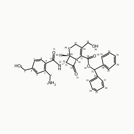 NCc1cc(CO)ccc1C(=O)N[C@H]1C(=O)N2C(C(=O)OC(c3ccccc3)c3ccccc3)=C(CO)CS[C@@H]12